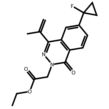 C=C(C)c1nn(CC(=O)OCC)c(=O)c2ccc(C3(F)CC3)cc12